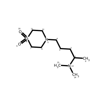 CC(CCCN1CCS(=O)(=O)CC1)N(C)C